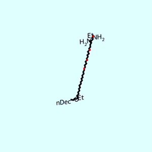 CCCCCCCCCCCCCOC(CC)CCCCCCCCCCCCCCCCCCCCCCCCCCCCCCCCC(N)CCC(N)CC